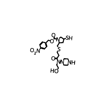 O=C(OCc1ccc([N+](=O)[O-])cc1)N1CC(S)CC1CSCCC(=O)N(CCO)N1CCNCC1